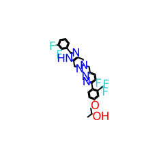 CC(O)COc1ccc(-c2ccc(CN3Cc4nc(-c5cccc(F)c5F)[nH]c4C=N3)nn2)c(C(F)(F)F)c1